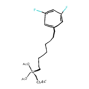 CC(=O)O[Si](CCCCCc1cc(F)cc(F)c1)(OC(C)=O)OC(C)=O